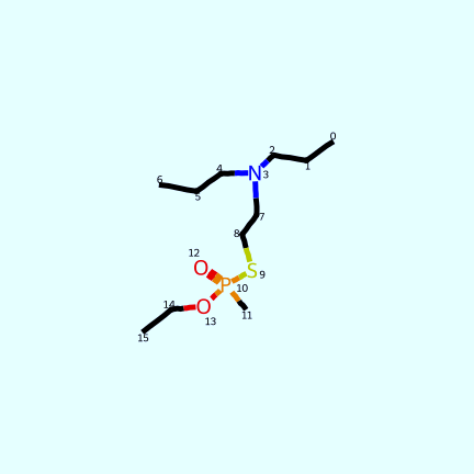 CCCN(CCC)CCSP(C)(=O)OCC